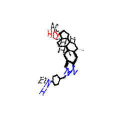 CCNC1CCC(Cn2cc3c(n2)C=C2[C@@H](C)C[C@@H]4[C@H](CC[C@@]5(C)[C@H]4CC[C@]5(O)C(C)=O)[C@@]2(C)C3)CC1